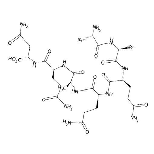 CC(C)[C@H](N)C(=O)N[C@H](C(=O)N[C@@H](CCC(N)=O)C(=O)N[C@@H](CCC(N)=O)C(=O)N[C@@H](C)C(=O)N[C@@H](CCC(N)=O)C(=O)N[C@@H](CC(N)=O)C(=O)O)C(C)C